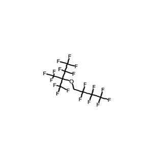 FC(F)(F)C(F)(F)C(F)(F)COC(C(F)(F)F)(C(F)(F)F)C(F)(F)C(F)(F)F